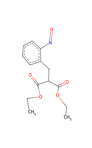 CCOC(=O)C(Cc1ccccc1N=O)C(=O)OCC